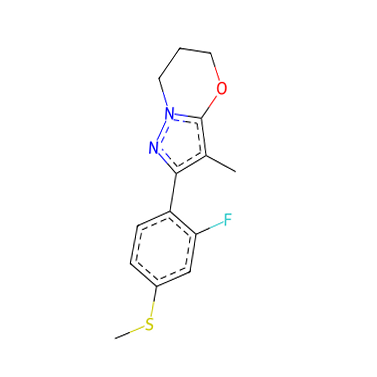 CSc1ccc(-c2nn3c(c2C)OCCC3)c(F)c1